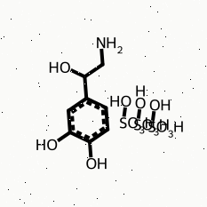 NCC(O)c1ccc(O)c(O)c1.O=S(=O)(O)O.O=S(=O)(O)O.O=S(=O)(O)O